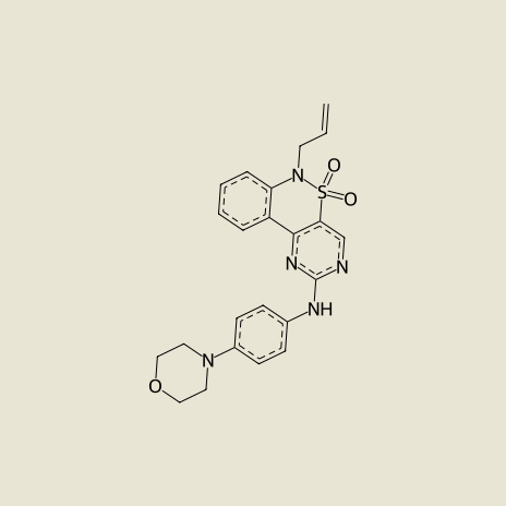 C=CCN1c2ccccc2-c2nc(Nc3ccc(N4CCOCC4)cc3)ncc2S1(=O)=O